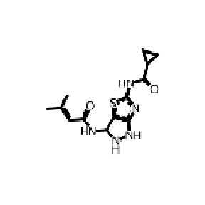 CC(C)=CC(=O)NC1NNc2nc(NC(=O)C3CC3)sc21